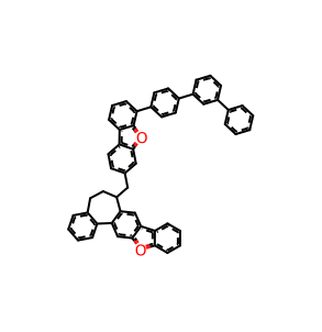 c1ccc(-c2cccc(-c3ccc(-c4cccc5c4oc4cc(CC6CCc7ccccc7-c7cc8oc9ccccc9c8cc76)ccc45)cc3)c2)cc1